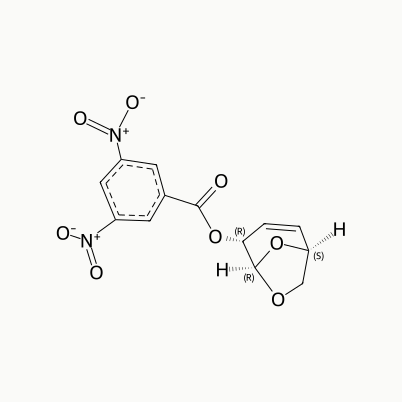 O=C(O[C@@H]1C=C[C@H]2CO[C@@H]1O2)c1cc([N+](=O)[O-])cc([N+](=O)[O-])c1